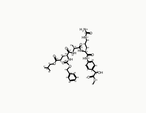 COC(=O)C(O)c1ccc(NC(=O)[C@H](CCCNC(N)=O)NC(=O)[C@H](C)NC(=O)[C@H](CCC(=O)OCC(C)C)NC(=O)OCc2ccccc2)cc1